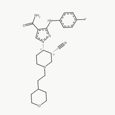 N#C[C@@H]1CN(CCC2CCOCC2)CC[C@@H]1n1cc(C(N)=O)c(Nc2ccc(F)cc2)n1